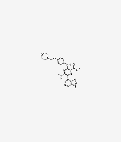 CNc1nc(Nc2ccc(CCN3CCOCC3)cc2)c(C(=O)OC)nc1-c1cncc2c1ncn2C